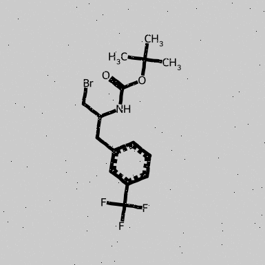 CC(C)(C)OC(=O)NC(CBr)Cc1cccc(C(F)(F)F)c1